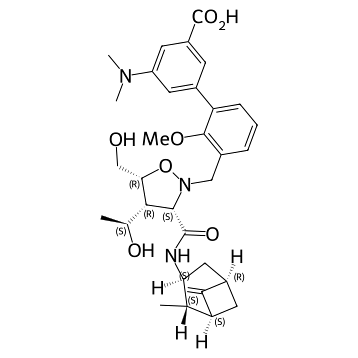 C=C1[C@H]2C[C@H](NC(=O)[C@@H]3[C@H]([C@H](C)O)[C@H](CO)ON3Cc3cccc(-c4cc(C(=O)O)cc(N(C)C)c4)c3OC)[C@@H](C)[C@@H]1C2